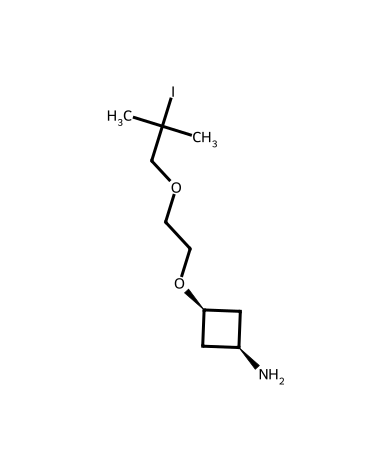 CC(C)(I)COCCO[C@H]1C[C@@H](N)C1